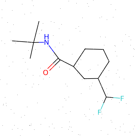 CC(C)(C)NC(=O)C1CCCC(C(F)F)C1